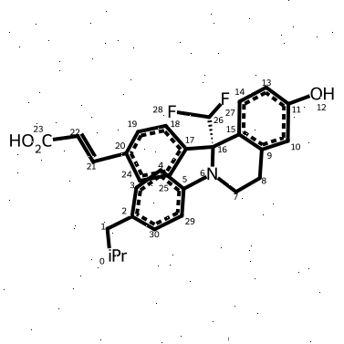 CC(C)Cc1ccc(N2CCc3cc(O)ccc3[C@@]2(c2ccc(/C=C/C(=O)O)cc2)C(F)F)cc1